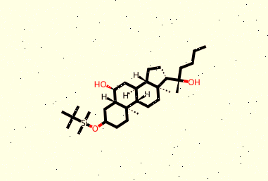 CCCC[C@](C)(O)[C@H]1CC[C@H]2[C@@H]3C[C@H](O)[C@H]4CC(O[Si](C)(C)C(C)(C)C)CC[C@]4(C)[C@H]3CC[C@@]21C